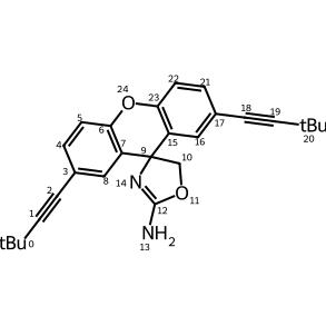 CC(C)(C)C#Cc1ccc2c(c1)C1(COC(N)=N1)c1cc(C#CC(C)(C)C)ccc1O2